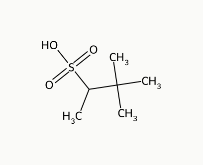 CC(C(C)(C)C)S(=O)(=O)O